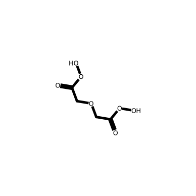 O=C(COCC(=O)OO)OO